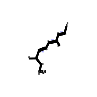 CC(/C=C/I)=C\C=C\C(C)CC(=O)O